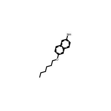 CCCCCCOc1ccc2cc([NH])ccc2c1